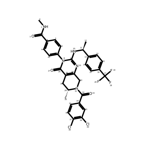 CNC(=O)c1ccc(-n2c(N[C@@H](C)c3ccc(C(F)(F)F)cc3)nc3c(c2=O)C[C@@H](C)N(C(=O)c2ccc(Cl)c(Cl)c2)C3)cc1